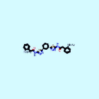 CC(=O)Nc1ccccc1CC(=O)Nc1nnc([C@H]2CCC[C@H](c3nnc(NC(=O)Cc4ccccc4NC(C)=O)s3)C2)s1